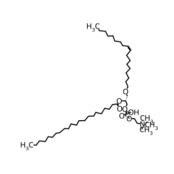 CCCCCCCC/C=C\CCCCCCCCOC[C@H](COP(=O)(O)OCC[N+](C)(C)C)OC(=O)CCCCCCCCCCCCCCCCCCCCC